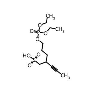 CC#CC(CCCOP(=O)(OCC)OCC)CS(=O)(=O)O